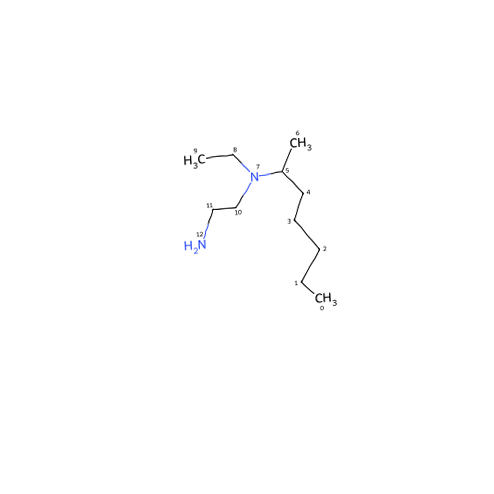 CCCCCC(C)N(CC)CCN